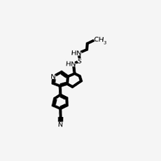 CCCNSNC1CCCc2c(-c3ccc(C#N)cc3)cncc21